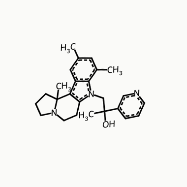 Cc1cc(C)c2c(c1)c1c(n2CC(C)(O)c2cccnc2)CCN2CCCC12C